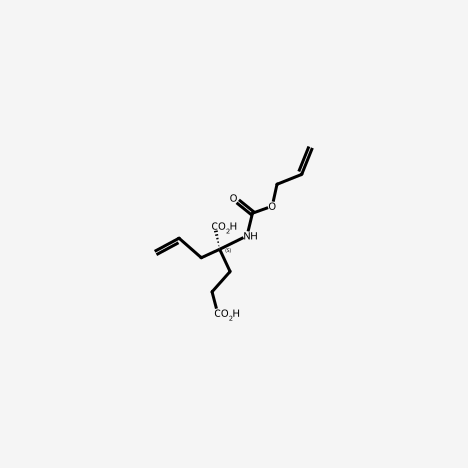 C=CCOC(=O)N[C@](CC=C)(CCC(=O)O)C(=O)O